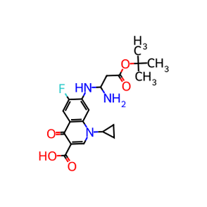 CC(C)(C)OC(=O)CC(N)Nc1cc2c(cc1F)c(=O)c(C(=O)O)cn2C1CC1